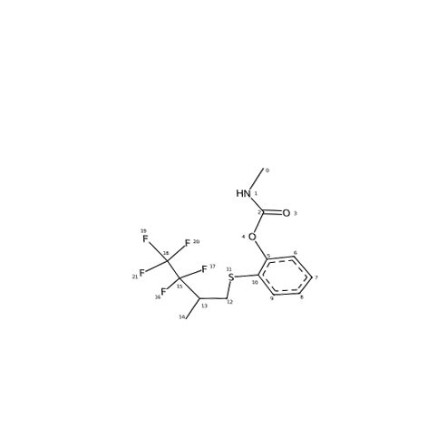 CNC(=O)Oc1ccccc1SCC(C)C(F)(F)C(F)(F)F